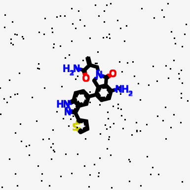 C=C(CN1Cc2c(-c3ccc4[nH]nc(-c5cccs5)c4c3)ccc(N)c2C1=O)C(N)=O